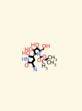 CC(C)(C)OC(=O)N1[C@H](CO)[C@@H](O)[C@@H](O)[C@@H]1c1cc(C#N)c(=O)[nH]c1O